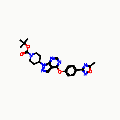 Cc1nc(-c2ccc(Oc3ncnc4c3cnn4C3CCN(C(=O)OC(C)(C)C)CC3)cc2)no1